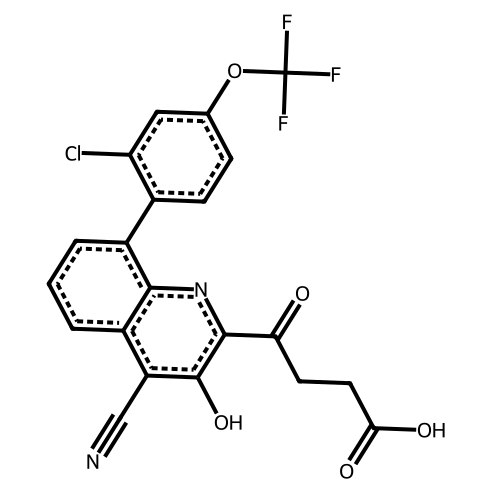 N#Cc1c(O)c(C(=O)CCC(=O)O)nc2c(-c3ccc(OC(F)(F)F)cc3Cl)cccc12